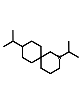 CC(C)C1CCC2(CCCN(C(C)C)C2)CC1